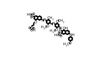 COc1ccc(Nc2ccc3c(O)c(N=Nc4cc(OC)c(N=Nc5cc(C)c(N=Nc6ccc7cc(S(=O)(=O)O)cc(OCCCS(=O)(=O)O)c7c6)cc5OC)cc4OC)c(S(=O)(=O)O)cc3c2)cc1